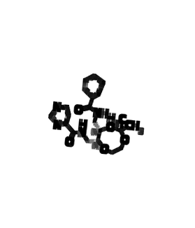 CC1(C)OCCO[C@H](CNC(=O)c2ccncn2)[C@H](CNC(=O)c2ccccc2)O1